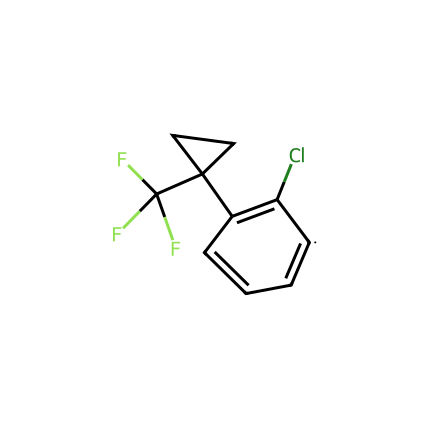 FC(F)(F)C1(c2ccc[c]c2Cl)CC1